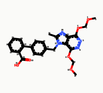 COCOc1nnc(OCOC)c2c1nc(C)n2Cc1ccc(-c2ccccc2C(=O)O)cc1